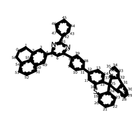 C1=Cc2cc(-c3cc(-c4ccc(-c5ccc6c(c5)Sc5ccccc5C65c6ccccc6-c6ccccc65)cc4)nc(-c4ccccc4)n3)cc3cccc(c23)C1